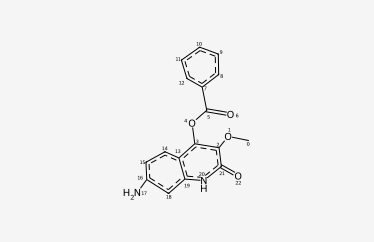 COc1c(OC(=O)c2ccccc2)c2ccc(N)cc2[nH]c1=O